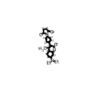 CCN(CC)c1ccc2c(C)c(-c3ccc(N4C(=O)CCC4=O)cc3)c(=O)oc2c1